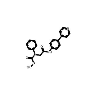 CC(C)(C)OC(=O)N(CC(=O)Nc1ccc(-c2ccncc2)cc1)c1ccccc1